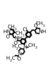 C=CC(=O)N1CCC(N(CC)c2cc(-c3ccc(CC4CCNCC4OC)c(Cl)c3)cc(C(=O)NCc3c(C)cc(C)[nH]c3=O)c2C)CC1